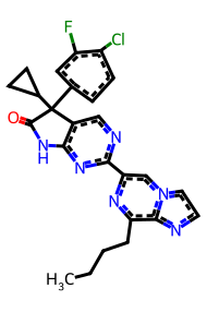 CCCCc1nc(-c2ncc3c(n2)NC(=O)C3(c2ccc(Cl)c(F)c2)C2CC2)cn2ccnc12